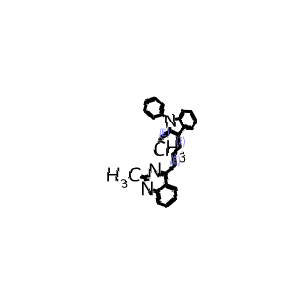 C\C=c1/c(=C\C=C\c2nc(C)nc3ccccc23)c2ccccc2n1-c1ccccc1